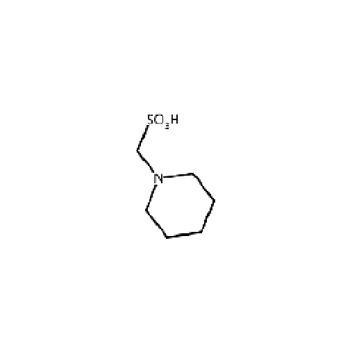 O=S(=O)(O)CN1CCCCC1